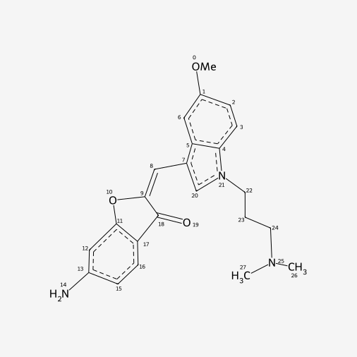 COc1ccc2c(c1)c(C=C1Oc3cc(N)ccc3C1=O)cn2CCCN(C)C